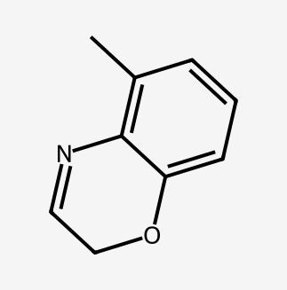 Cc1cccc2c1N=CCO2